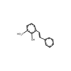 O=C(O)c1cccc(C=Cc2ccccc2)c1O